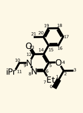 C#CC(C)Oc1c(CC)nn(CC(C)C)c(=O)c1-c1ccccc1C